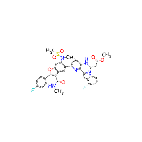 CNC(=O)c1c(-c2ccc(F)cc2)oc2cc(N(C)S(C)(=O)=O)c(-c3ccc4c(n3)-c3cc5c(F)cccc5n3C(CC(=O)OC)N4)cc12